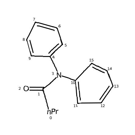 CCCC(=O)N(c1ccccc1)c1ccccc1